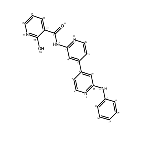 O=C(Nc1cc(-c2ccnc(Nc3ccccc3)c2)ccn1)c1cccnc1O